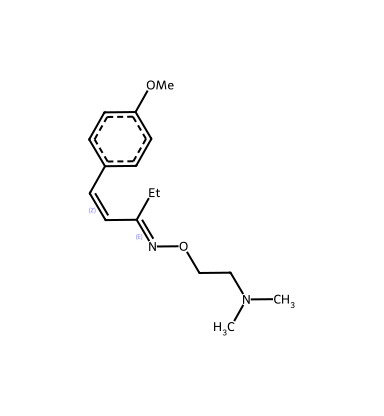 CCC(/C=C\c1ccc(OC)cc1)=N\OCCN(C)C